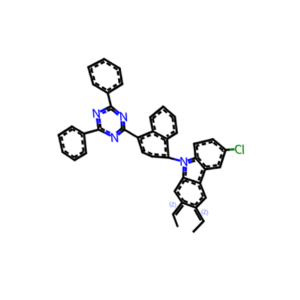 C/C=c1/cc2c3cc(Cl)ccc3n(-c3ccc(-c4nc(-c5ccccc5)nc(-c5ccccc5)n4)c4ccccc34)c2c/c1=C/C